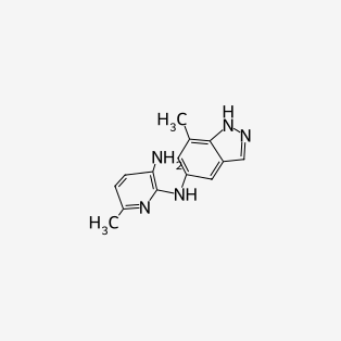 Cc1ccc(N)c(Nc2cc(C)c3[nH]ncc3c2)n1